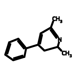 CC1=NC(C)CC(c2ccccc2)=C1